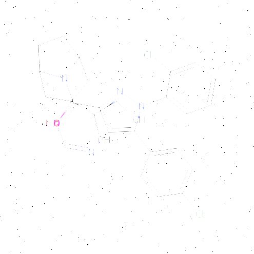 CCC(C)C1(O)CC2CCC(C1)N2c1ncnc2c(-c3ccc(Cl)cc3)n(-c3ccccc3Cl)nc12